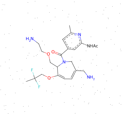 CC(=O)Nc1cc(C(=O)N2CC(CN)=CC=C(OCC(C)(F)F)C2COCCN)cc(C)n1